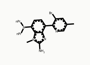 CCCN(CCC)c1ccc(-c2ncc(C)cc2Br)c2nc(N)n(C)c12